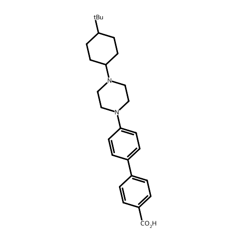 CC(C)(C)C1CCC(N2CCN(c3ccc(-c4ccc(C(=O)O)cc4)cc3)CC2)CC1